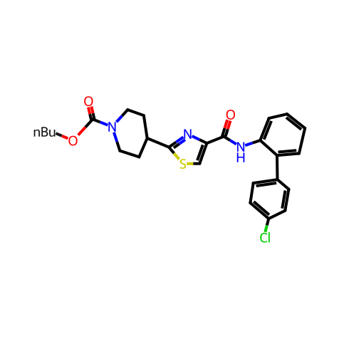 CCCCOC(=O)N1CCC(c2nc(C(=O)Nc3ccccc3-c3ccc(Cl)cc3)cs2)CC1